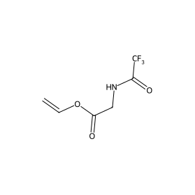 C=COC(=O)CNC(=O)C(F)(F)F